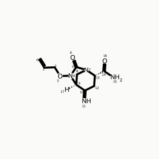 C=CCON1C(=O)N2C[C@H]1C(=N)C[C@H]2C(N)=O